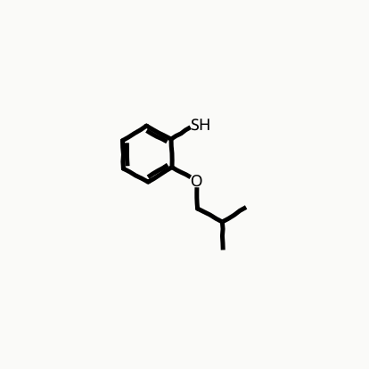 CC(C)COc1ccccc1S